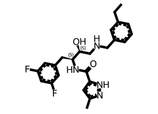 CCc1cccc(CNC[C@H](O)[C@H](Cc2cc(F)cc(F)c2)NC(=O)c2cc(C)n[nH]2)c1